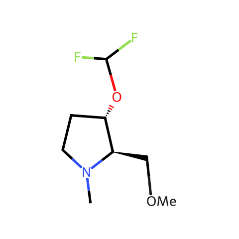 COC[C@@H]1[C@@H](OC(F)F)CCN1C